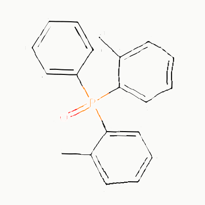 Cc1ccccc1P(=O)(c1ccccc1)c1ccccc1C